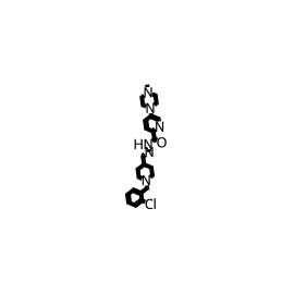 CN1CCN(c2ccc(C(=O)NN=CC3CCN(Cc4ccccc4Cl)CC3)nc2)CC1